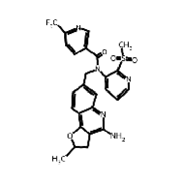 CC1Cc2c(N)nc3cc(CN(C(=O)c4ccc(C(F)(F)F)nc4)c4cccnc4S(C)(=O)=O)ccc3c2O1